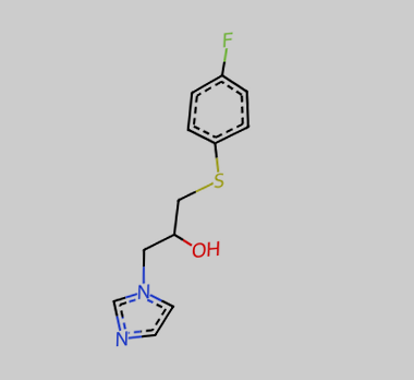 OC(CSc1ccc(F)cc1)Cn1ccnc1